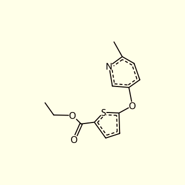 CCOC(=O)c1ccc(Oc2ccc(C)nc2)s1